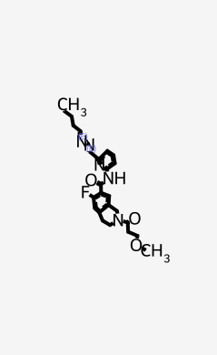 CCCC/C=N/N=C/c1cccc(NC(=O)c2cc3c(cc2F)CCN(C(=O)CCOC)C3)n1